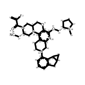 C=C(F)C(=O)N1CC2COc3c(OC[C@@H]4CCCN4C)nc4c(c3N2C[C@@H]1CC#N)CCN(c1cccc2c1C1CC1C2)C4